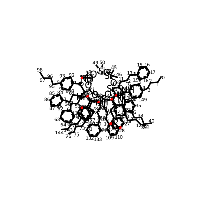 CCCCc1ccc(C(=N)C(CCCc2ccccc2)[Si]2(C(CCCc3ccccc3)C(=N)c3ccc(CCCC)cc3)O[Si](C)(C)O[Si](C)(C)O[Si](C)(C)O[Si](C(CCCc3ccccc3)C(=N)c3ccc(CCCC)cc3)(C(CCCc3ccccc3)C(=N)c3ccc(CCCC)cc3)O[Si](C(CCCc3ccccc3)C(=N)c3ccc(CCCC)cc3)(C(CCCc3ccccc3)C(=N)c3ccc(CCCC)cc3)O2)cc1